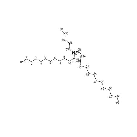 CCCCCCCCCCCc1n(CCCCCCCCCCC)cc[n+]1CCCCC